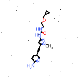 Cn1nc(NC(=O)NCCOCC2CC2)cc1C#Cc1ccc(N)nc1